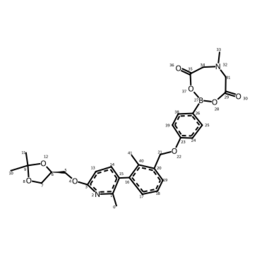 Cc1nc(OC[C@H]2COC(C)(C)O2)ccc1-c1cccc(COc2ccc(B3OC(=O)CN(C)CC(=O)O3)cc2)c1C